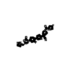 N#CC1(c2ccc(-c3ccc(N4C[C@H](Cn5ccnn5)OC4=O)cc3F)cn2)C2CN(C(=O)[C@@H]3C[C@H](F)CN3)CC21